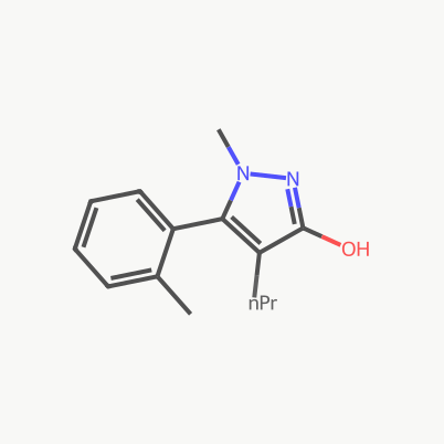 CCCc1c(O)nn(C)c1-c1ccccc1C